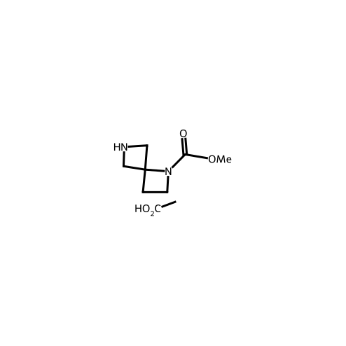 CC(=O)O.COC(=O)N1CCC12CNC2